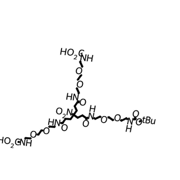 CC(C)(C)OC(=O)NCCOCCOCCNC(=O)CCC(CCC(=O)NCCOCCOCCNC(=O)O)(CCC(=O)NCCOCCOCCNC(=O)O)[N+](=O)[O-]